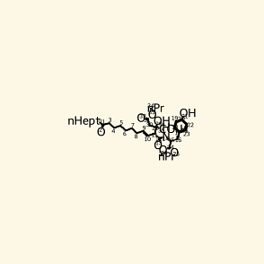 CCCCCCCC(=O)CCCCCC/C=C/[C@H](C(=O)N[C@@H](Cc1ccc(O)cc1)C(=O)OCCC)[C@@](O)(CC(=O)OCCC)C(=O)O